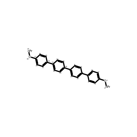 CCCOc1ccc(-c2ccc(-c3ccc(-c4ccc(OCCC)cc4)cc3)cc2)cc1